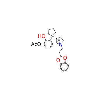 CC(=O)Oc1cccc(C2([C@@H]3CCN(CCC4Oc5ccccc5O4)C3)CCCC2)c1O